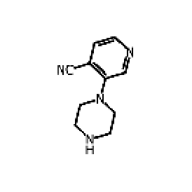 N#Cc1ccncc1N1CCNCC1